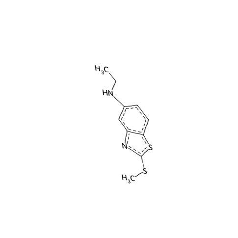 CCNc1ccc2sc(SC)nc2c1